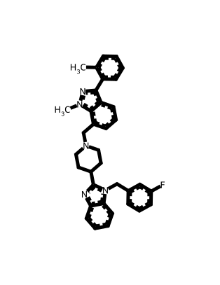 Cc1ccccc1-c1nn(C)c2c(CN3CCC(c4nc5ccccc5n4Cc4cccc(F)c4)CC3)cccc12